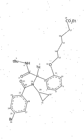 [2H]C(C(=O)NC(C)(C)C)(c1ccccc1OCCCCCC(=O)OCC)N(C(=O)c1ccc(Br)cc1)C1CC1